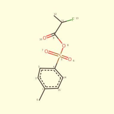 Cc1ccc(S(=O)(=O)OC(=O)C(C)F)cc1